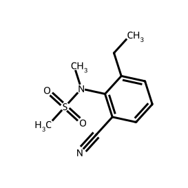 CCc1cccc(C#N)c1N(C)S(C)(=O)=O